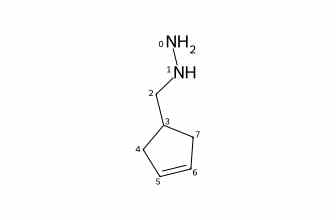 NNCC1CC=CC1